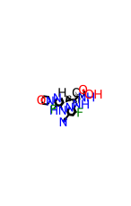 C[C@H](NC(=O)O)[C@@H](Nc1nc(Nc2ccnc(N3CCOCC3)c2F)c(C#N)cc1F)C1CC1